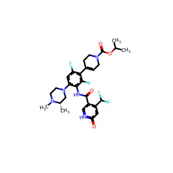 CC(C)OC(=O)N1CC=C(c2c(F)cc(N3CCN(C)[C@@H](C)C3)c(NC(=O)c3c[nH]c(=O)cc3C(F)F)c2F)CC1